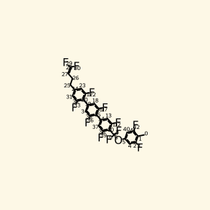 Cc1c(F)cc(OC(F)(F)c2c(F)cc(-c3c(F)cc(-c4c(F)cc(CCC=C(F)F)cc4F)cc3F)cc2F)cc1F